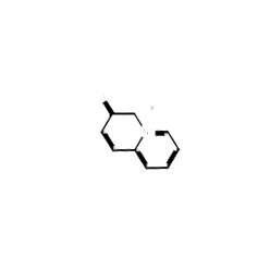 Cl.O=C1C=Cc2cccc[n+]2C1